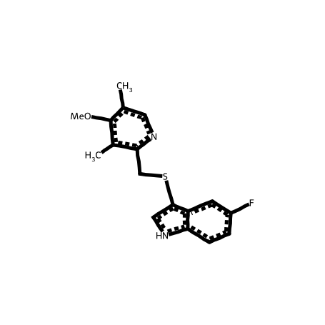 COc1c(C)cnc(CSc2c[nH]c3ccc(F)cc23)c1C